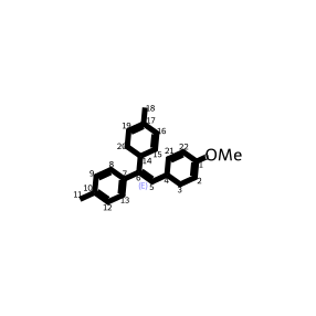 COC1=CCC(/C=C(/c2ccc(C)cc2)C2C=CC(C)=CC2)C=C1